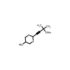 COC(C)(C)C#CC1SCC(C(C)(C)C)CS1